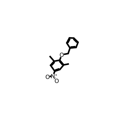 Cc1cc([N+](=O)[O-])cc(C)c1OCc1ccccc1